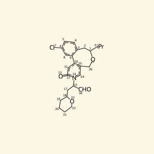 CC(C)C1Cc2ccc(Cl)cc2-c2cc(=O)n(C(C=O)CC3CCCCO3)cc2CO1